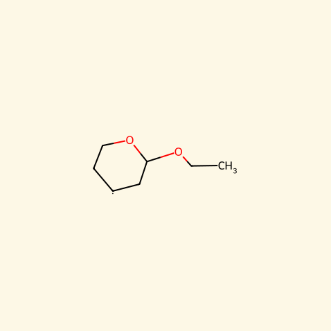 CCOC1C[CH]CCO1